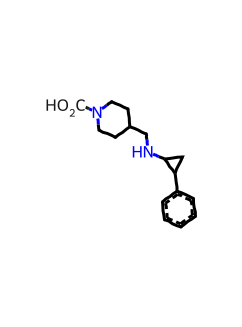 O=C(O)N1CCC(CNC2CC2c2ccccc2)CC1